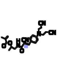 C=C(C)C(=O)OC(C)CNC(=O)/C(C#N)=C/c1ccc(N(CCC#N)CCC#N)cc1